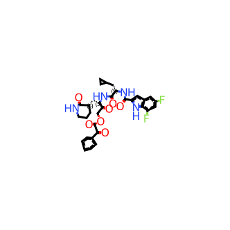 O=C(OCC(=O)[C@H](C[C@@H]1CCCNC1=O)NC(=O)[C@H](CC1CC1)NC(=O)c1cc2cc(F)cc(F)c2[nH]1)C(=O)c1ccccc1